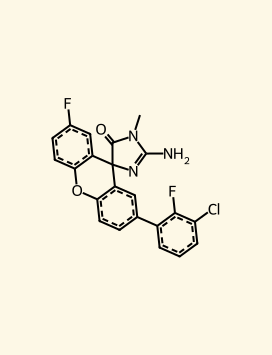 CN1C(=O)C2(N=C1N)c1cc(F)ccc1Oc1ccc(-c3cccc(Cl)c3F)cc12